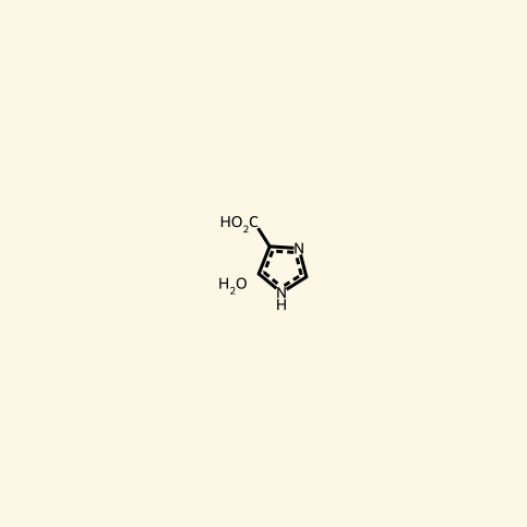 O.O=C(O)c1c[nH]cn1